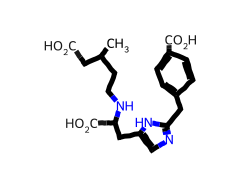 CC(CCNC(Cc1cnc(Cc2ccc(C(=O)O)cc2)[nH]1)C(=O)O)CC(=O)O